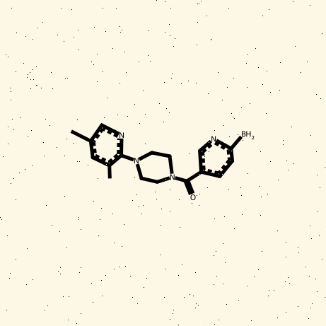 Bc1ccc(C(=O)N2CCN(c3ncc(C)cc3C)CC2)cn1